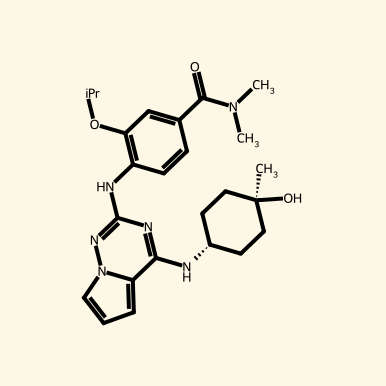 CC(C)Oc1cc(C(=O)N(C)C)ccc1Nc1nc(N[C@H]2CC[C@](C)(O)CC2)c2cccn2n1